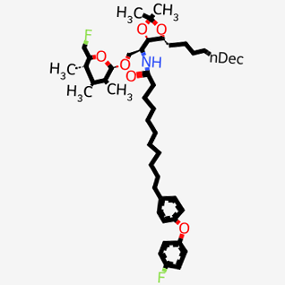 CCCCCCCCCCCCCC[C@H]1OC(C)(C)O[C@H]1[C@H](CO[C@H]1OC(CF)[C@@H](C)[C@H](C)C1C)NC(=O)CCCCCCCCCCc1ccc(Oc2ccc(F)cc2)cc1